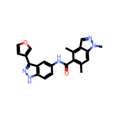 Cc1cc2c(cnn2C)c(C)c1C(=O)Nc1ccc2[nH]nc(-c3ccoc3)c2c1